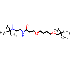 CC(C)(C)COCCCCOCCC(=O)NCCNC(C)(C)C